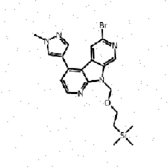 Cn1cc(-c2ccnc3c2c2cc(Br)ncc2n3COCC[Si](C)(C)C)cn1